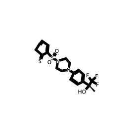 C[C@@](O)(c1ccc(N2CCN(S(=O)(=O)C3=CC=CCC3=S)CC2)cc1)C(F)(F)F